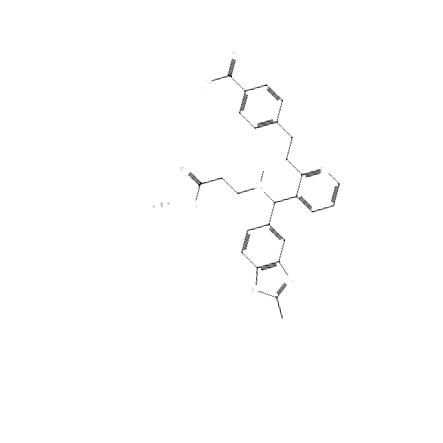 Cc1nc2cc(C(c3cccnc3CCc3ccc(C(=N)N)cc3)N(CCC(=N)N)C(=O)O)ccc2[nH]1.Cl.Cl